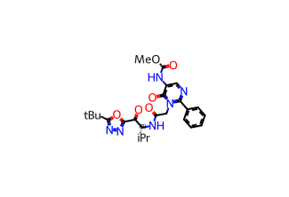 COC(=O)Nc1cnc(-c2ccccc2)n(CC(=O)N[C@@H](C(=O)c2nnc(C(C)(C)C)o2)C(C)C)c1=O